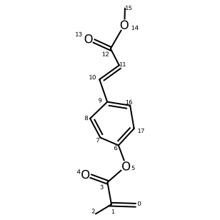 C=C(C)C(=O)Oc1ccc(/C=C/C(=O)OC)cc1